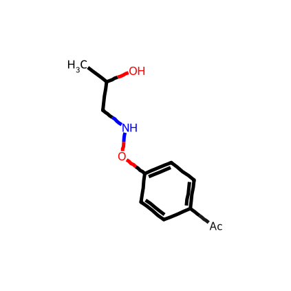 CC(=O)c1ccc(ONCC(C)O)cc1